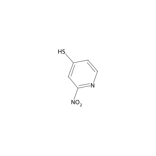 O=[N+]([O-])c1cc(S)ccn1